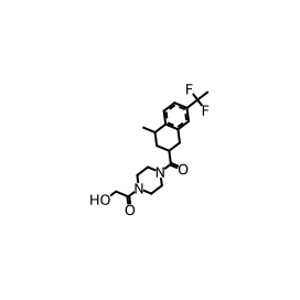 CC1CC(C(=O)N2CCN(C(=O)CO)CC2)Cc2cc(C(C)(F)F)ccc21